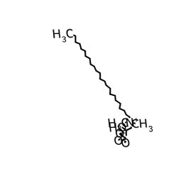 CCCCCCCCCCCCCCCCCCCCCCCC[N+](C)(C)CC(O)CS(=O)(=O)[O-]